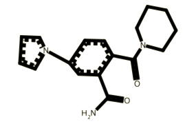 NC(=O)c1cc(-n2cccc2)ccc1C(=O)N1CCCCC1